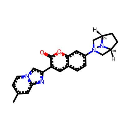 Cc1ccn2cc(-c3cc4ccc(N5C[C@H]6CC[C@@H](C5)N6C)cc4oc3=O)nc2c1